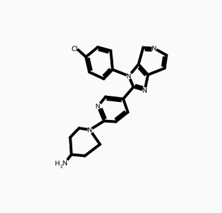 NC1CCN(c2ccc(-c3nc4ccncc4n3-c3ccc(Cl)cc3)cn2)CC1